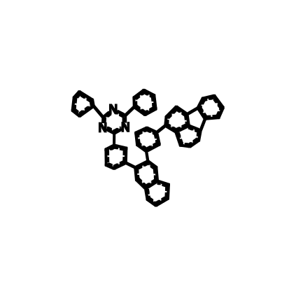 c1ccc(-c2nc(-c3ccccc3)nc(-c3cccc(-c4cc5ccccc5cc4-c4cccc(-c5ccc6c7c(cccc57)-c5ccccc5-6)c4)c3)n2)cc1